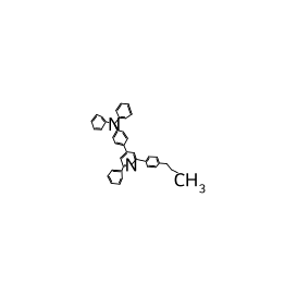 CCCCc1ccc(-c2cc(-c3ccc(N(c4ccccc4)c4ccccc4)cc3)cc(-c3ccccc3)n2)cc1